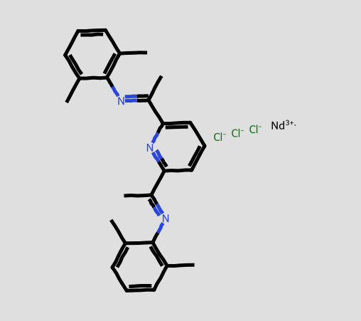 CC(=Nc1c(C)cccc1C)c1cccc(C(C)=Nc2c(C)cccc2C)n1.[Cl-].[Cl-].[Cl-].[Nd+3]